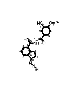 CC(C)Oc1ccc(C(=O)ONC(=N)c2cccc3c2CCC3N=[N+]=[N-])cc1C#N